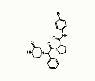 O=C1CN(C(C(=O)N2CCC[C@H]2C(=O)Nc2ccc(Br)cc2)c2ccccc2)CCN1